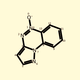 [O-][n+]1nc2ccnn2c2ccccc21